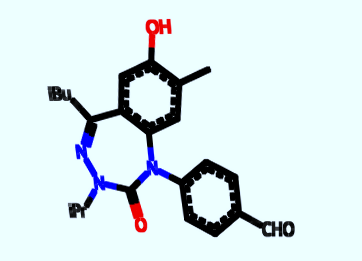 CCC(C)C1=NN(C(C)C)C(=O)N(c2ccc(C=O)cc2)c2cc(C)c(O)cc21